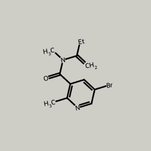 C=C(CC)N(C)C(=O)c1cc(Br)cnc1C